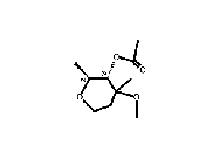 COC1(C)CCO[C@@H](C)[C@@H]1OC(C)=O